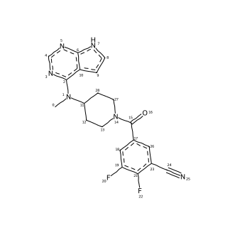 CN(c1ncnc2[nH]ccc12)C1CCN(C(=O)c2cc(F)c(F)c(C#N)c2)CC1